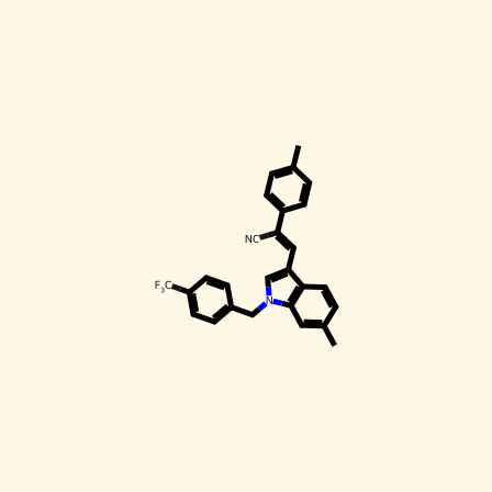 Cc1ccc(/C(C#N)=C/c2cn(Cc3ccc(C(F)(F)F)cc3)c3cc(C)ccc23)cc1